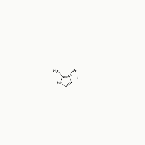 Cc1[nH]cc[n+]1C(C)C.[I-]